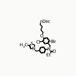 Br.CCCCCCCCCCCCCCOc1ccc(CN(C(=O)CC)c2ccc(CN3C=C(C)SC3)cc2)cc1Cl